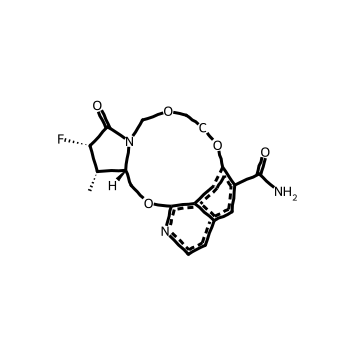 C[C@@H]1[C@H](F)C(=O)N2COCCOc3cc4c(nccc4cc3C(N)=O)OC[C@H]12